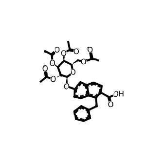 CC(=O)OC[C@H]1O[C@@H](Oc2ccc3c(Cc4ccccc4)c(C(=O)O)ccc3c2)[C@H](OC(C)=O)[C@@H](OC(C)=O)[C@H]1OC(C)=O